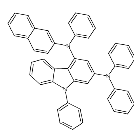 c1ccc(N(c2ccccc2)c2cc(N(c3ccccc3)c3ccc4ccccc4c3)c3c4ccccc4n(-c4ccccc4)c3c2)cc1